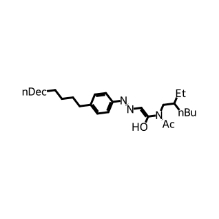 CCCCCCCCCCCCCCc1ccc(/N=N/C=C(\O)N(CC(CC)CCCC)C(C)=O)cc1